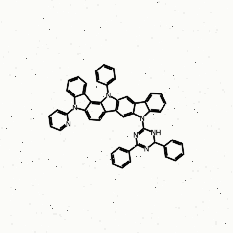 c1ccc(C2=NC(c3ccccc3)NC(n3c4ccccc4c4cc5c(cc43)c3ccc4c(c6ccccc6n4-c4ccccn4)c3n5-c3ccccc3)=N2)cc1